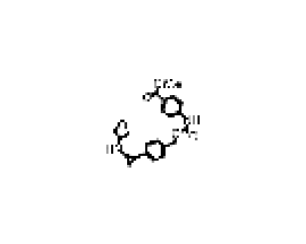 COC(=O)c1ccc(NC(=O)OCc2ccc(C3CC3NC3COC3)cc2)cc1